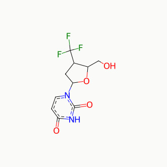 O=c1ccn(C2CC(C(F)(F)F)C(CO)O2)c(=O)[nH]1